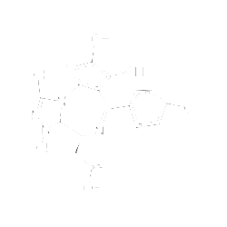 CC1=NN(C)C2[C@H](CC(=O)O)N=C(c3ccc(Cl)cc3)c3c(sc(C)c3C)N12